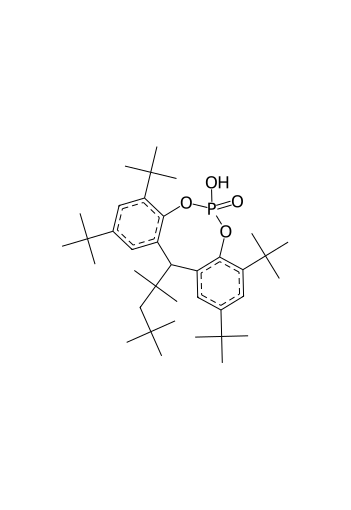 CC(C)(C)CC(C)(C)C1c2cc(C(C)(C)C)cc(C(C)(C)C)c2OP(=O)(O)Oc2c1cc(C(C)(C)C)cc2C(C)(C)C